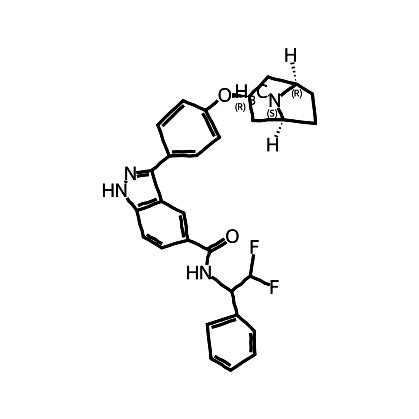 CN1[C@@H]2CC[C@H]1C[C@@H](Oc1ccc(-c3n[nH]c4ccc(C(=O)NC(c5ccccc5)C(F)F)cc34)cc1)C2